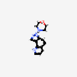 c1cnc2c(c1)ccc1c2cnn1N1CCOCC1